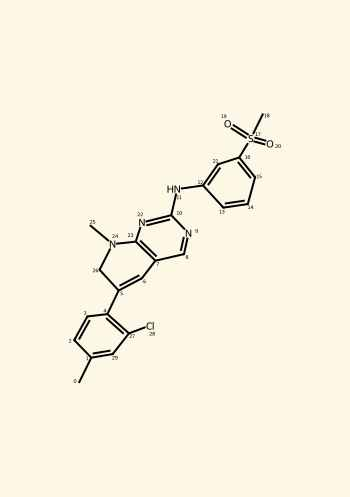 Cc1ccc(C2=Cc3cnc(Nc4cccc(S(C)(=O)=O)c4)nc3N(C)C2)c(Cl)c1